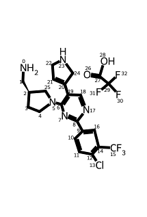 NC[C@@H]1CCN(c2nc(-c3ccc(Cl)c(C(F)(F)F)c3)ncc2C2=CCNC2)C1.O=C(O)C(F)(F)F